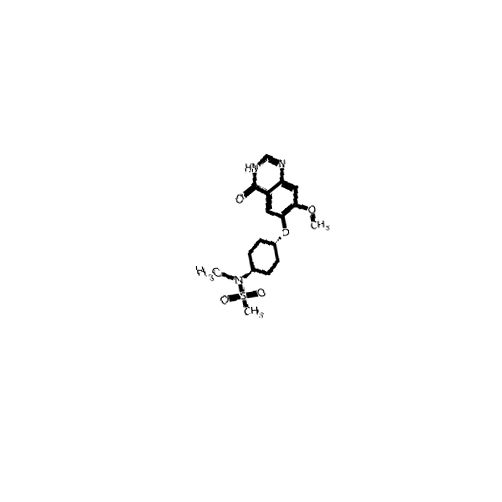 COc1cc2nc[nH]c(=O)c2cc1O[C@H]1CC[C@H](N(C)S(C)(=O)=O)CC1